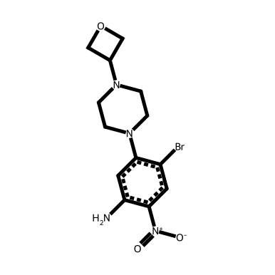 Nc1cc(N2CCN(C3COC3)CC2)c(Br)cc1[N+](=O)[O-]